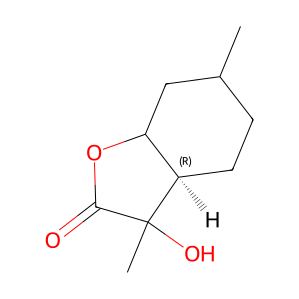 CC1CC[C@@H]2C(C1)OC(=O)C2(C)O